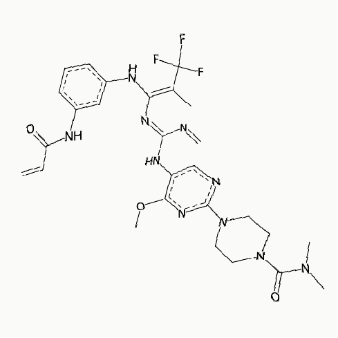 C=CC(=O)Nc1cccc(NC(/N=C(\N=C)Nc2cnc(N3CCN(C(=O)N(C)C)CC3)nc2OC)=C(/C)C(F)(F)F)c1